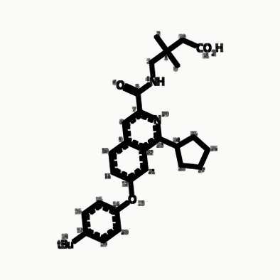 CC(C)(CNC(=O)c1cc2ccc(Oc3ccc(C(C)(C)C)cc3)cc2c(C2CCCC2)n1)CC(=O)O